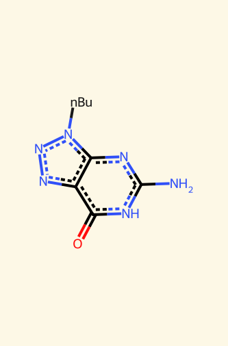 [CH2]CCCn1nnc2c(=O)[nH]c(N)nc21